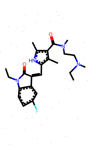 CCN(C)CCN(C)C(=O)c1c(C)[nH]c(/C=C2\C(=O)N(CC)c3ccc(F)cc32)c1C